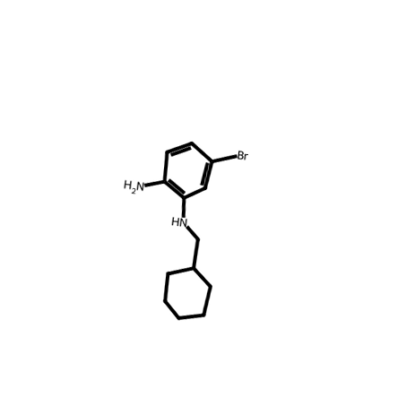 Nc1ccc(Br)cc1NCC1CCCCC1